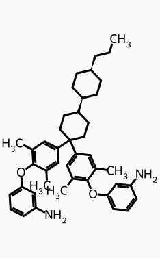 CCC[C@H]1CC[C@@H](C2CCC(c3cc(C)c(Oc4cccc(N)c4)c(C)c3)(c3cc(C)c(Oc4cccc(N)c4)c(C)c3)CC2)CC1